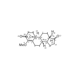 COC1=C2CC[C@@H]3[C@H](CC[C@]4(C)C(=O)CC[C@@H]34)[C@@]2(C)CCC1=O